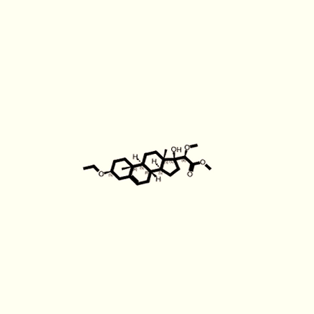 CCO[C@H]1CC[C@@]2(C)C(=CC[C@@H]3[C@@H]2CC[C@@]2(C)[C@H]3CC[C@@]2(O)[C@@H](OC)C(=O)OC)C1